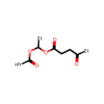 CCCC(=O)OC(CC)OC(=O)CCC(=O)CC